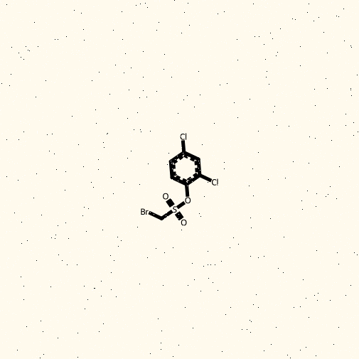 O=S(=O)(CBr)Oc1ccc(Cl)cc1Cl